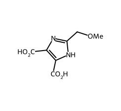 COCc1nc(C(=O)O)c(C(=O)O)[nH]1